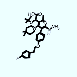 Cc1nc(NN)c(-c2ccc(OCCc3ccc(F)cc3)cc2)c(N2CCC(C)(C)CC2)c1C(OC(C)(C)C)C(=O)O